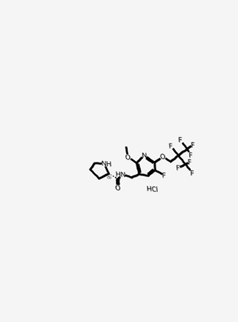 COc1nc(OCC(F)(C(F)(F)F)C(F)(F)F)c(F)cc1CNC(=O)[C@@H]1CCCN1.Cl